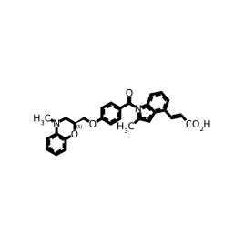 Cc1cc2c(C=CC(=O)O)cccc2n1C(=O)c1ccc(OC[C@@H]2CN(C)c3ccccc3O2)cc1